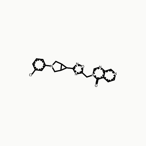 O=c1c2ccncc2ncn1Cc1nc(C2C3CN(c4cccc(Cl)c4)CC32)no1